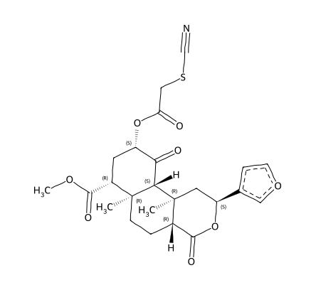 COC(=O)[C@@H]1C[C@H](OC(=O)CSC#N)C(=O)[C@H]2[C@@]1(C)CC[C@H]1C(=O)O[C@H](c3ccoc3)C[C@]21C